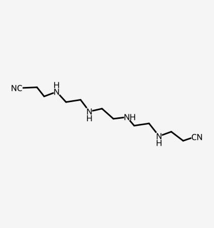 N#CCCNCCNCCNCCNCCC#N